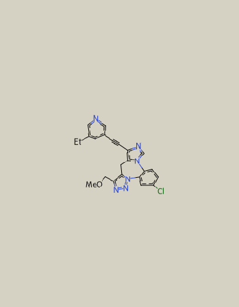 CCc1cncc(C#Cc2ncn3c2Cc2c(COC)nnn2-c2cc(Cl)ccc2-3)c1